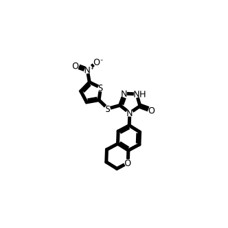 O=c1[nH]nc(Sc2ccc([N+](=O)[O-])s2)n1-c1ccc2c(c1)CCCO2